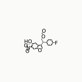 O=COCC(c1ccc(F)cc1)c1coc2cc([N+](=O)[O-])c(O)cc12